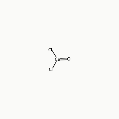 [O]=[Ce]([Cl])[Cl]